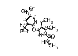 CCc1c(Oc2ncc([N+](=O)[O-])cc2C(F)(F)F)nn(C(=O)NC)c1C